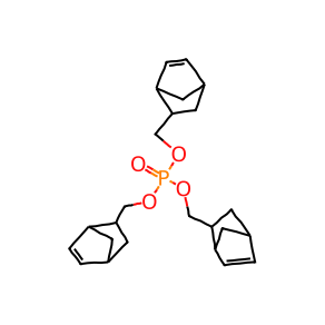 O=P(OCC1CC2C=CC1C2)(OCC1CC2C=CC1C2)OCC1CC2C=CC1C2